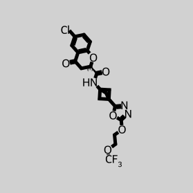 O=C1C[C@H](C(=O)NC23CC(c4nnc(OCCOC(F)(F)F)o4)(C2)C3)Oc2ccc(Cl)cc21